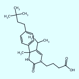 CC(C)C1=CN(CCCC(=O)O)C(=O)NC1(C)c1ccc(CCC(C)(C)C)cc1